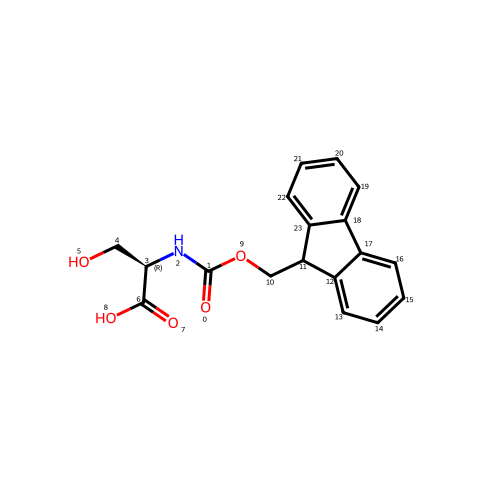 O=C(N[C@H](CO)C(=O)O)OCC1c2ccccc2-c2ccccc21